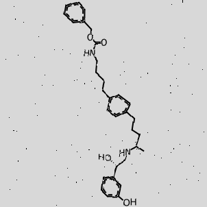 CC(CCCc1ccc(CCCCNC(=O)OCc2ccccc2)cc1)NC[C@@H](O)c1cccc(O)c1